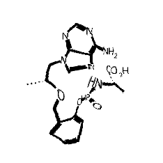 C[C@H](Cn1cnc2c(N)ncnc21)OCc1ccccc1O[PH](=O)N[C@@H](C)C(=O)O